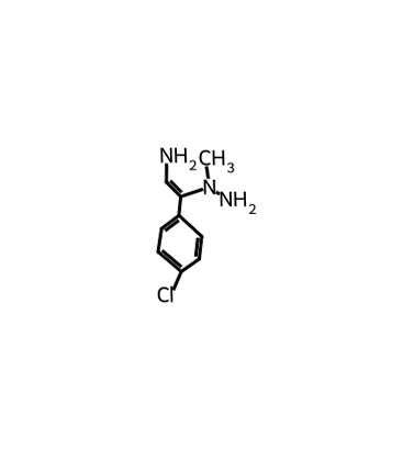 CN(N)/C(=C\N)c1ccc(Cl)cc1